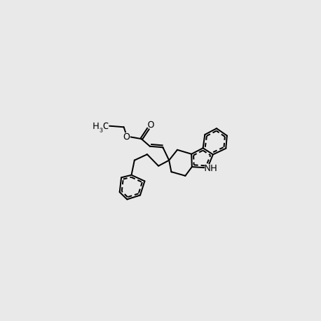 CCOC(=O)/C=C/C1(CCCc2ccccc2)CCc2[nH]c3ccccc3c2C1